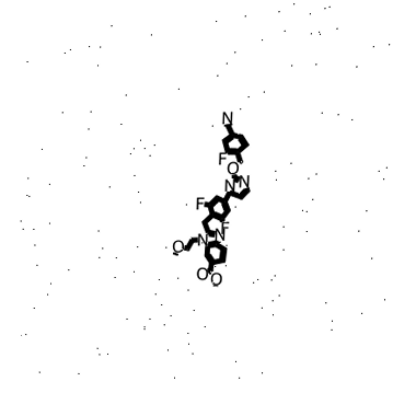 COCCn1c(Cc2c(F)cc(-c3ccnc(OCc4ccc(C#N)cc4F)n3)cc2F)nc2ccc(C(=O)OC)cc21